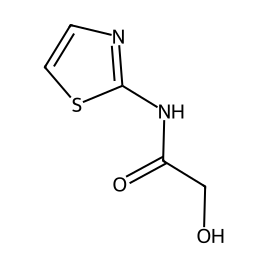 O=C(CO)Nc1nccs1